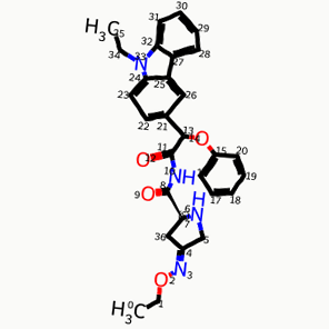 CCON=C1CN[C@H](C(=O)NC(=O)C(Oc2ccccc2)c2ccc3c(c2)c2ccccc2n3CC)C1